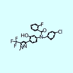 Cn1nc(-c2ccc(N(Cc3ccc(Cl)cc3)C(=O)c3ccccc3F)cc2O)cc1C(F)(F)F